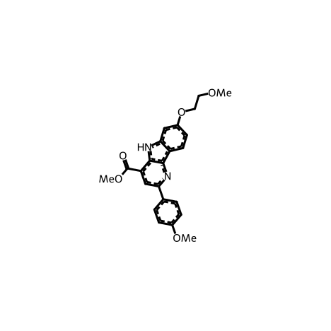 COCCOc1ccc2c(c1)[nH]c1c(C(=O)OC)cc(-c3ccc(OC)cc3)nc12